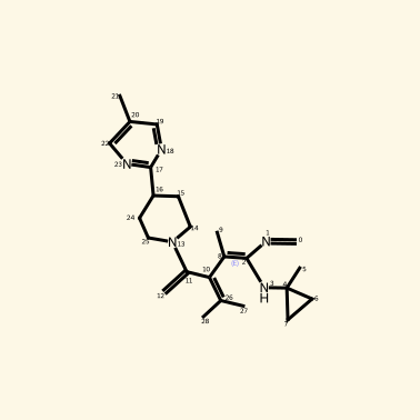 C=N/C(NC1(C)CC1)=C(\C)C(C(=C)N1CCC(c2ncc(C)cn2)CC1)=C(C)C